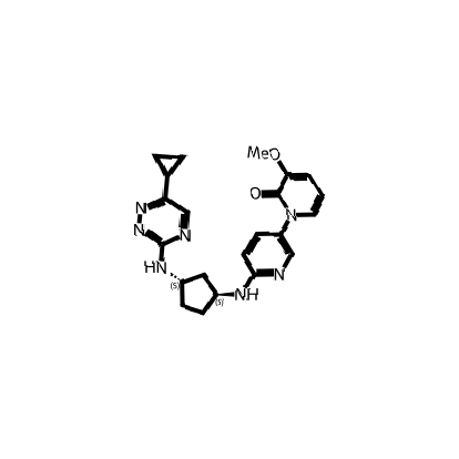 COc1cccn(-c2ccc(N[C@H]3CC[C@H](Nc4ncc(C5CC5)nn4)C3)nc2)c1=O